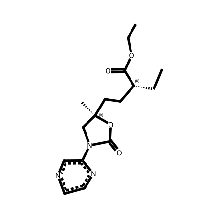 CCOC(=O)[C@H](CC)CC[C@]1(C)CN(c2cnccn2)C(=O)O1